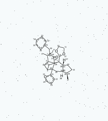 CC(C)C1=CC2CC3(C4OCCO4)[C@@H]4CC[C@@H](C)[C@H]4CC2(c2ccco2)C13C(=O)OCc1ccccc1